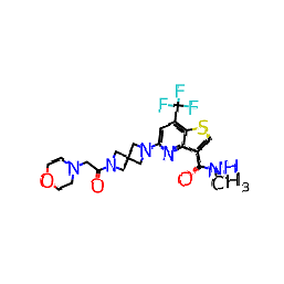 CNC(=O)c1csc2c(C(F)(F)F)cc(N3CC4(CN(C(=O)CN5CCOCC5)C4)C3)nc12